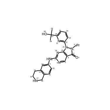 CC(C)n1c(=O)c2cnc(Nc3ccc4c(c3)CCNC4)nc2n1-c1cccc(C(C)(C)O)n1